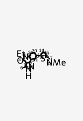 CCn1c(=O)c2c(C)[nH]nc2c2cc(-c3ccc(CNC)s3)ccc21